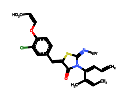 C=C/C=C(\C(C)=C/C)N1C(=O)/C(=C/c2ccc(O/C=C\C(=O)O)c(Cl)c2)S/C1=N/CCC